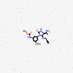 C#CC/N=C1\C(=C(/C)N)NC(=O)N1c1cc(NC(=O)OC(C)(C)C)cc(OC)c1